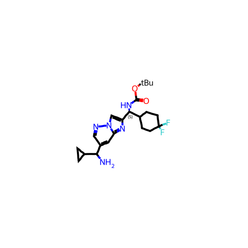 CC(C)(C)OC(=O)N[C@H](c1cn2ncc(C(N)C3CC3)cc2n1)C1CCC(F)(F)CC1